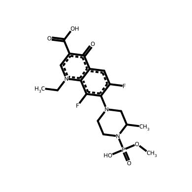 CCn1cc(C(=O)O)c(=O)c2cc(F)c(N3CCN(P(=O)(O)OC)C(C)C3)c(F)c21